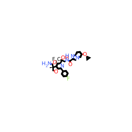 C[C@]1(C(N)=O)COc2c1cc(C(O)(CNC(=O)c1cn3cc(OC4CC4)ccc3n1)C(F)(F)F)nc2-c1ccc(F)cc1